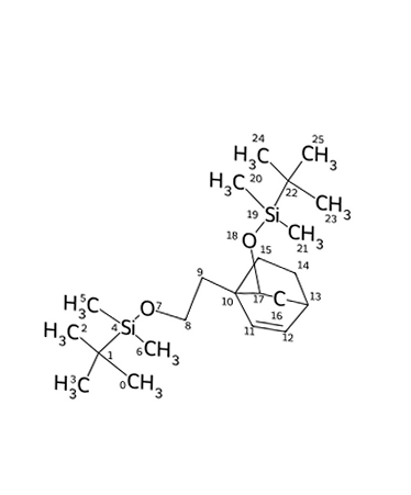 CC(C)(C)[Si](C)(C)OCCC12C=CC(CC1)CC2O[Si](C)(C)C(C)(C)C